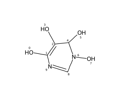 OC1=C(O)C(O)N(O)C=N1